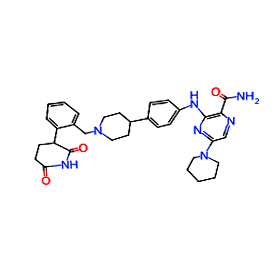 NC(=O)c1ncc(N2CCCCC2)nc1Nc1ccc(C2CCN(Cc3ccccc3C3CCC(=O)NC3=O)CC2)cc1